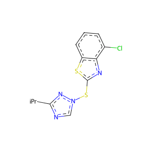 CC(C)c1ncn(Sc2nc3c(Cl)cccc3s2)n1